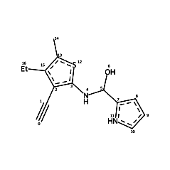 C#Cc1c(NC(O)c2ccc[nH]2)sc(C)c1CC